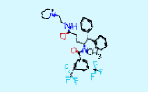 CN(C(=O)c1cc(C(F)(F)F)cc(C(F)(F)F)c1)C(CCC(=O)NCCN1CCCCC1)C(c1ccccc1)c1ccccc1